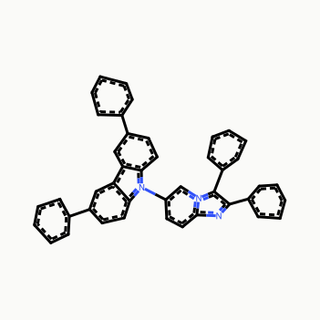 c1ccc(-c2ccc3c(c2)c2cc(-c4ccccc4)ccc2n3-c2ccc3nc(-c4ccccc4)c(-c4ccccc4)n3c2)cc1